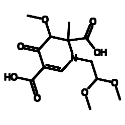 COC(CN1C=C(C(=O)O)C(=O)C(OC)C1(C)C(=O)O)OC